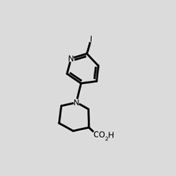 O=C(O)C1CCCN(c2ccc(I)nc2)C1